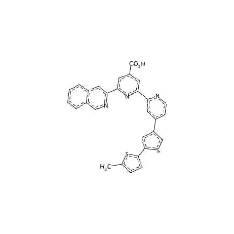 Cc1ccc(-c2cc(-c3ccnc(-c4cc(C(=O)O)cc(-c5cc6ccccc6cn5)n4)c3)cs2)s1